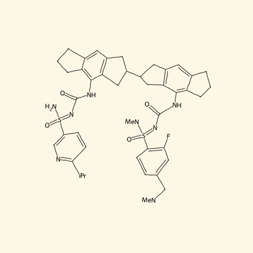 CNCc1ccc(S(=O)(=NC(=O)Nc2c3c(cc4c2CC(C2Cc5cc6c(c(NC(=O)N=S(N)(=O)c7ccc(C(C)C)nc7)c5C2)CCC6)C4)CCC3)NC)c(F)c1